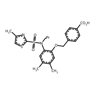 Cc1csc(S(=O)(=O)N(c2cc(C)c(C)cc2OCc2ccc(C(=O)O)cc2)C(C)C)n1